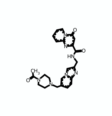 CC(=O)N1CCN(Cc2ccc3nc(CNC(=O)c4cc(=O)n5ccccc5n4)cn3c2)CC1